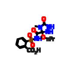 CCCOC1(C(=O)NS(=O)(=O)c2ccccc2C(=O)O)NNC(=O)N1C